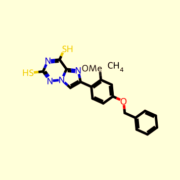 C.COc1cc(OCc2ccccc2)ccc1-c1cn2nc(S)nc(S)c2n1